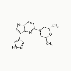 C[C@H]1CN(c2ccc3ncc(-c4cn[nH]c4)n3n2)C[C@H](C)O1